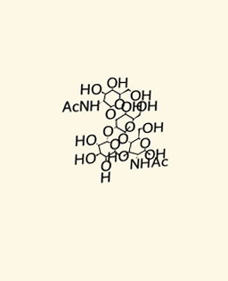 CC(=O)N[C@@H]1[C@@H](O)[C@H](O[C@@H]2O[C@H](CO)[C@H](O)[C@H](O[C@H]3O[C@H](CO)[C@@H](O)[C@H](O)[C@H]3NC(C)=O)[C@H]2O[C@@H]2O[C@@H](C)[C@@H](O)[C@@H](O)[C@@H]2O)[C@@H](CO)O[C@H]1O